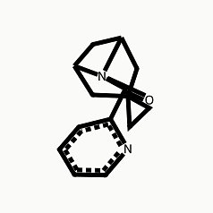 O=C(c1ccccn1)N1C2CC1CC1(CC1)C2